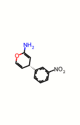 NC1=C[C@H](c2cccc([N+](=O)[O-])c2)C=CO1